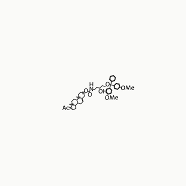 COc1ccc(C(OCCC(O)CCNC(=O)O[C@@H]2CC[C@]3(C)C(=CCC4C3CC[C@]3(C)C4CC[C@H]3C(C)=O)C2)(c2ccccc2)c2ccc(OC)cc2)cc1